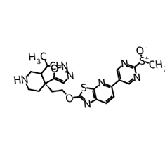 CC(C)C1CNCC[C@@]1(CCOc1nc2ccc(-c3cnc([S+](C)[O-])nc3)nc2s1)c1cnno1